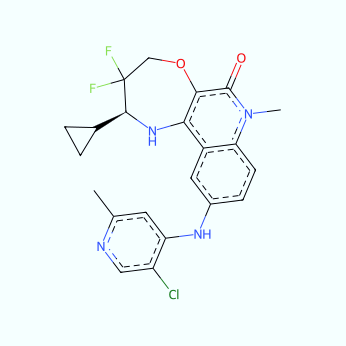 Cc1cc(Nc2ccc3c(c2)c2c(c(=O)n3C)OCC(F)(F)[C@H](C3CC3)N2)c(Cl)cn1